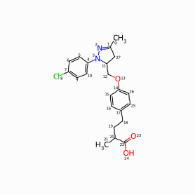 CC1=NN(c2ccc(Cl)cc2)C(COc2ccc(CCC(C)C(=O)O)cc2)C1